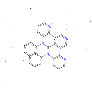 c1ccc(N2B3c4c(cncc4-c4ncccc4N3c3ccccc3)-c3ncccc32)cc1